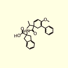 COC1=C(c2ccccc2)CC(C(=O)NC2(C(=O)O)Cc3ccccc3C2)(C(C)C)C=C1